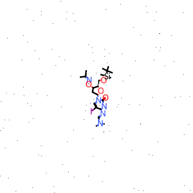 CC(C)=NOC1C[C@H](n2cc(I)c(/N=C/N(C)C)nc2=O)O[C@@H]1CO[Si](C)(C)C(C)(C)C